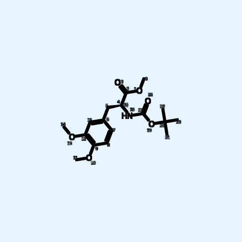 COC(=O)[C@H](Cc1ccc(OC)c(OC)c1)NC(=O)OC(C)(C)C